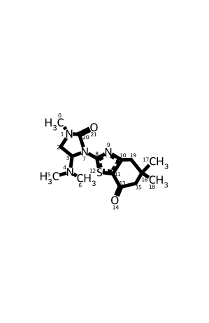 CN1CC(N(C)C)N(c2nc3c(s2)C(=O)CC(C)(C)C3)C1=O